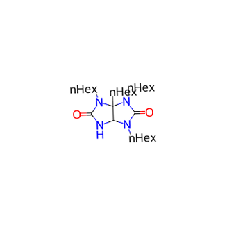 CCCCCCN1C(=O)N(CCCCCC)C2(CCCCCC)C1NC(=O)N2CCCCCC